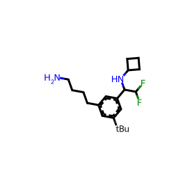 CC(C)(C)c1cc(CCCCN)cc(C(NC2CCC2)C(F)F)c1